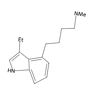 CCc1c[nH]c2cccc(CCCCNC)c12